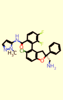 Cn1nccc1NC(=O)c1ccc(F)c(F)c1-c1c(Cl)ccc2c1C[C@@](CN)(c1ccccc1)O2